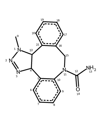 CN1N=NC2c3ccccc3N(C(N)=O)Cc3ccccc3C21